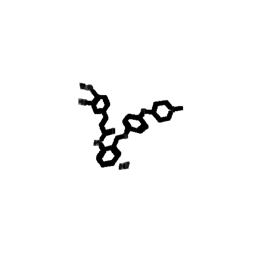 COc1ccc(C=CC(=O)Nc2ccccc2COc2ccc(OC3CCN(C)CC3)cc2)cc1O.Cl